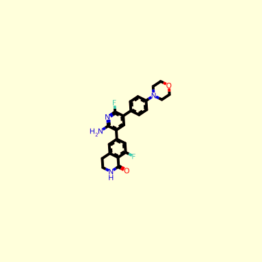 Nc1nc(F)c(-c2ccc(N3CCOCC3)cc2)cc1-c1cc(F)c2c(c1)CCNC2=O